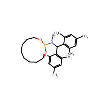 Cc1cc(C)c(C(c2c(C)cc(C)cc2C)N(C(C)C)P2OCCCCCCCCO2)c(C)c1